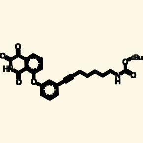 CC(C)(C)OC(=O)NCCCCCC#Cc1cccc(Oc2cccc3c2C(=O)NC(=O)C3=O)c1